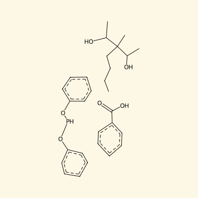 CCCCC(C)(C(C)O)C(C)O.O=C(O)c1ccccc1.c1ccc(OPOc2ccccc2)cc1